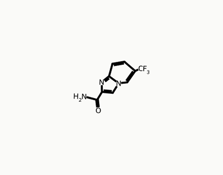 NC(=O)c1cn2cc(C(F)(F)F)ccc2n1